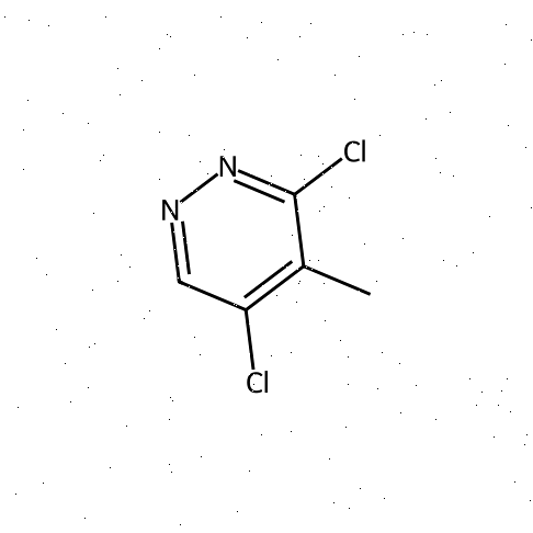 Cc1c(Cl)cnnc1Cl